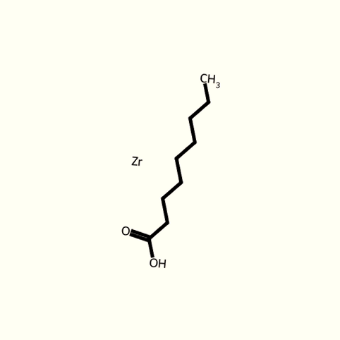 CCCCCCCCC(=O)O.[Zr]